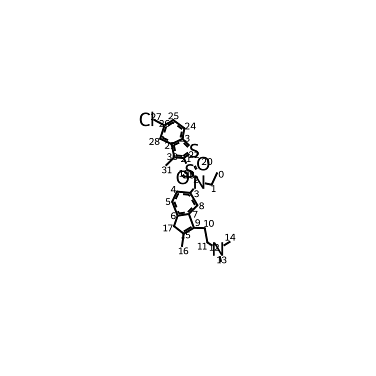 CCN(c1ccc2c(c1)C(CCN(C)C)=C(C)C2)S(=O)(=O)c1sc2ccc(Cl)cc2c1C